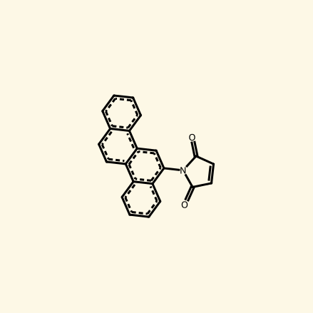 O=C1C=CC(=O)N1c1cc2c3ccccc3ccc2c2ccccc12